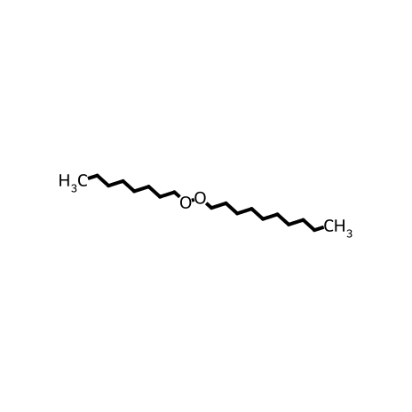 CCCCCCCCCCOOCCCCCCCC